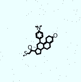 CSCC(=O)C1CCC2C3CCC4=CC(=O)CCC4=C3C(c3ccc(N(C)C)cc3)C[C@]12C